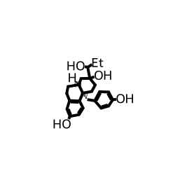 CCC(O)C1(O)CC[C@@]2(Cc3ccc(O)cc3)c3ccc(O)cc3CC[C@H]2C1